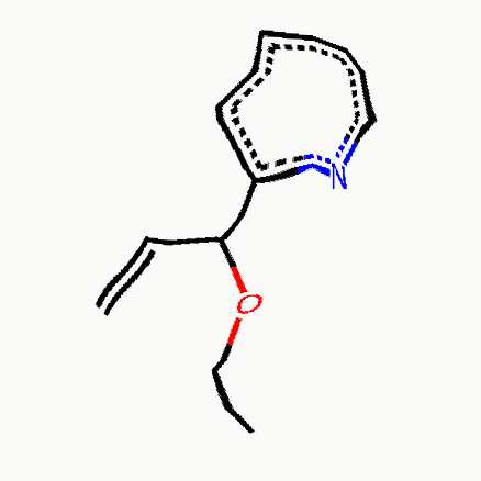 C=CC(OCC)c1ccccn1